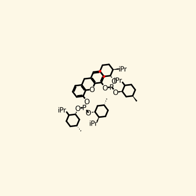 CC(C)C1CC[C@@H](C)C[C@H]1OP(Oc1cccc2c1Oc1c(cccc1OP(O[C@@H]1C[C@H](C)CCC1C(C)C)O[C@@H]1C[C@H](C)CC[C@H]1C(C)C)C2)O[C@@H]1C[C@H](C)CC[C@H]1C(C)C